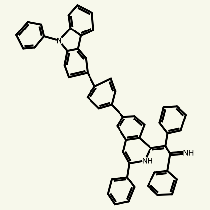 N=C(/C(=C1\NC(c2ccccc2)=Cc2cc(-c3ccc(-c4ccc5c(c4)c4ccccc4n5-c4ccccc4)cc3)ccc21)c1ccccc1)c1ccccc1